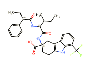 CCC(C)[C@H](NC(=O)[C@H](CC)c1ccccc1)C(=O)N[C@]1(C(=O)O)CCc2[nH]c3c(C(F)(F)F)cccc3c2C1